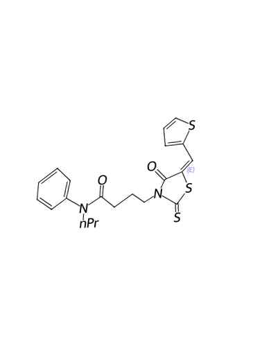 CCCN(C(=O)CCCN1C(=O)/C(=C\c2cccs2)SC1=S)c1ccccc1